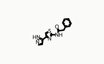 O=C(Cc1ccccc1)Nc1nc(-c2ccn[nH]2)cs1